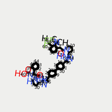 CN(C)c1c(CC(=O)N2CCC[C@H]2c2ncc(-c3ccc(-c4ccc(-c5cnc([C@@H]6CCCN6C(=O)[C@H](NC(=O)O)c6ccccc6)[nH]5)cc4)cc3)[nH]2)cccc1C(F)(F)F